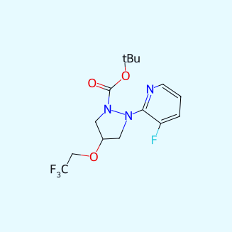 CC(C)(C)OC(=O)N1CC(OCC(F)(F)F)CN1c1ncccc1F